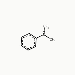 FC(F)(F)[SH](c1cc[c]cc1)C(F)(F)F